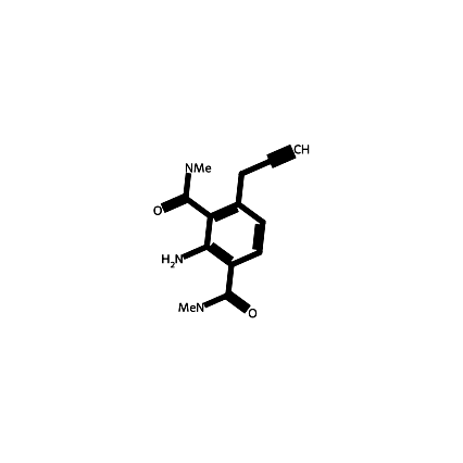 C#CCc1ccc(C(=O)NC)c(N)c1C(=O)NC